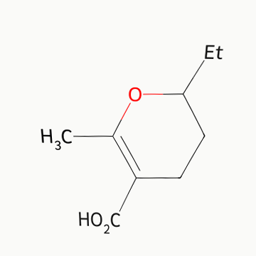 CCC1CCC(C(=O)O)=C(C)O1